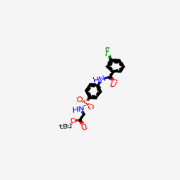 CC(C)(C)OC(=O)CNS(=O)(=O)c1ccc(NC(=O)c2cccc(F)c2)cc1